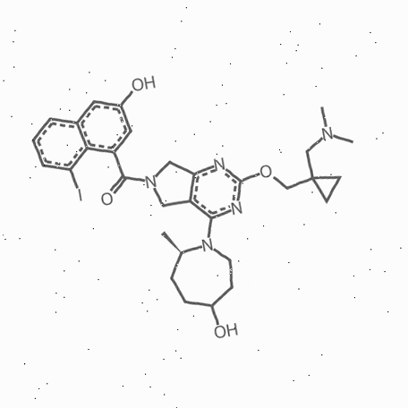 C[C@@H]1CCC(O)CCN1c1nc(OCC2(CN(C)C)CC2)nc2c1CN(C(=O)c1cc(O)cc3cccc(I)c13)C2